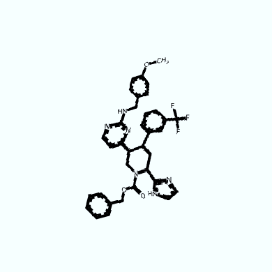 COc1ccc(CNc2nccc(C3CN(C(=O)OCc4ccccc4)C(c4ncc[nH]4)CC3c3cccc(C(F)(F)F)c3)n2)cc1